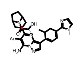 CC(=O)c1c(C2CC3CCC(C2)N3C(=O)[C@@H](C)O)nc2c(C3=CC=C(c4ncc[nH]4)CC3C)cnn2c1N